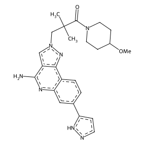 COC1CCN(C(=O)C(C)(C)Cn2cc3c(N)nc4cc(-c5ccn[nH]5)ccc4c3n2)CC1